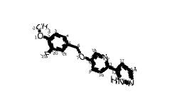 COc1ccc(COc2ccc(-c3ccn[nH]3)nc2)cc1F